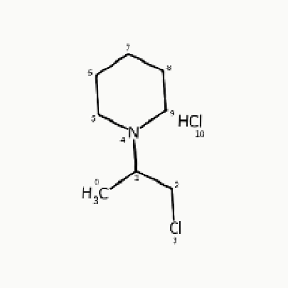 CC(CCl)N1CCCCC1.Cl